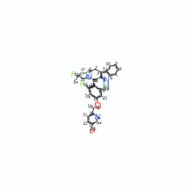 C[C@@H]1Cc2c([nH]c3ccccc23)[C@@H](c2c(F)cc(OCc3ccc(Br)cn3)cc2F)N1CC(C)(C)F